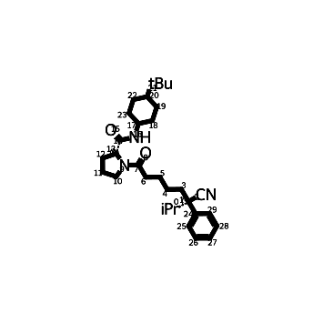 CC(C)[C@@](C#N)(CCCCC(=O)N1CCC[C@@H]1C(=O)NC1CCC(C(C)(C)C)CC1)c1ccccc1